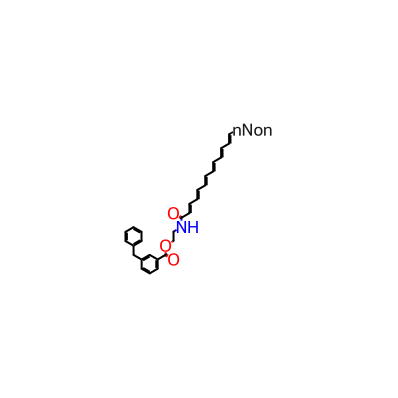 CCCCCCCCCC=CC=CC=CC=CC=CC=CC(=O)NCCOC(=O)c1cccc(Cc2ccccc2)c1